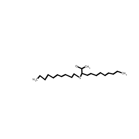 CCCCCCCCCCSC(CCCCCCCCC)C(C)[O]